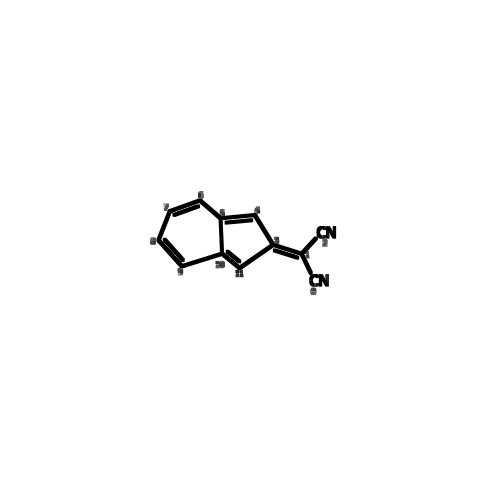 N#CC(C#N)=C1C=c2ccccc2=C1